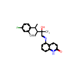 COc1cc(F)ccc1C(C)C(C)C(O)(/C=N/c1cccc2[nH]c(=O)ccc12)C(F)(F)F